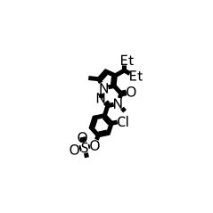 CCC(CC)c1cc(C)n2nc(-c3ccc(OS(C)(=O)=O)cc3Cl)n(C)c(=O)c12